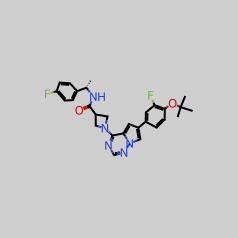 C[C@H](NC(=O)C1CN(c2ncnn3cc(-c4ccc(OC(C)(C)C)c(F)c4)cc23)C1)c1ccc(F)cc1